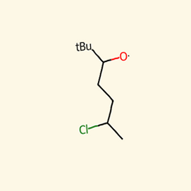 CC(Cl)CCC([O])C(C)(C)C